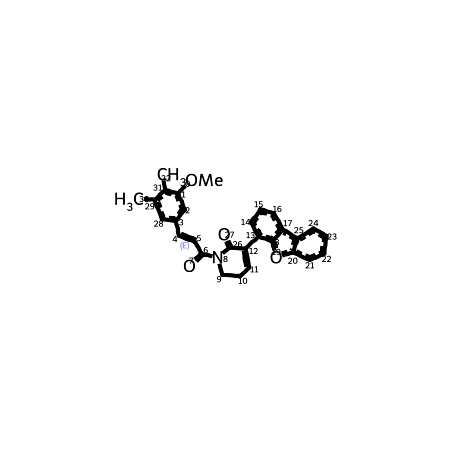 COc1cc(/C=C/C(=O)N2CCC=C(c3cccc4c3oc3ccccc34)C2=O)cc(C)c1C